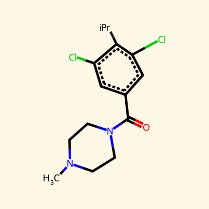 CC(C)c1c(Cl)cc(C(=O)N2CCN(C)CC2)cc1Cl